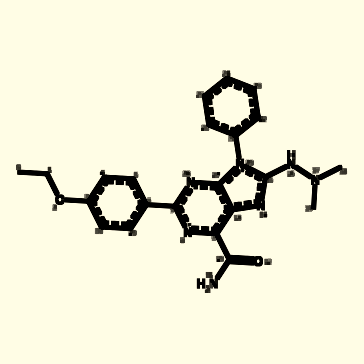 CCOc1ccc(-c2nc(C(N)=O)c3nc(NN(C)C)n(-c4ccccc4)c3n2)cc1